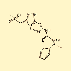 C[C@@H](NC(=O)Nc1cc2[nH]nc(CS(C)(=O)=O)c2cn1)c1ccccc1